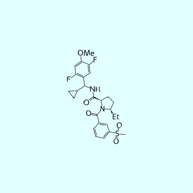 CC[C@@H]1CC[C@H](C(=O)NC(c2cc(F)c(OC)cc2F)C2CC2)N1C(=O)c1cccc(S(C)(=O)=O)c1